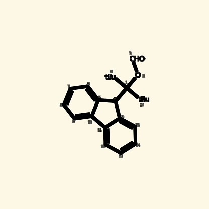 CC(C)(C)C(O[C]=O)(C1c2ccccc2-c2ccccc21)C(C)(C)C